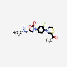 O=C(O)NC[C@H]1CN(c2ccc(N3C=C(C(=O)C(F)(F)F)SCC3)c(F)c2)C(=O)O1